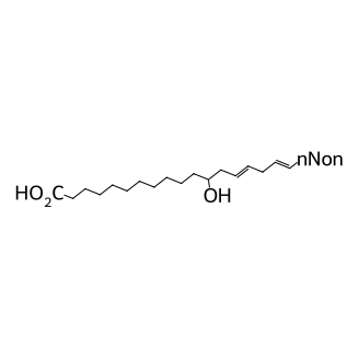 CCCCCCCCCC=CCC=CCC(O)CCCCCCCCCCC(=O)O